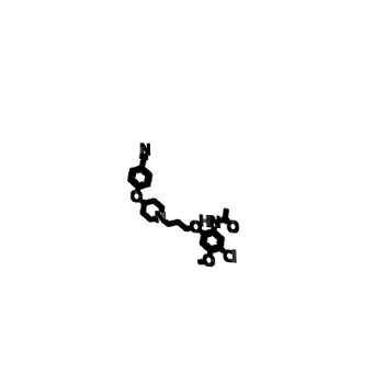 COc1cc(OCCCN2CCC(Oc3ccc(C#N)cc3)CC2)c(NC(C)=O)cc1Cl